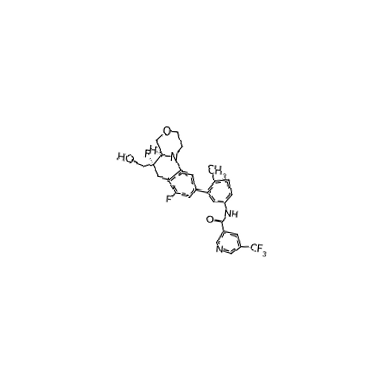 Cc1ccc(NC(=O)c2cncc(C(F)(F)F)c2)cc1-c1cc(F)c2c(c1)N1CCOC[C@@H]1[C@](F)(CO)C2